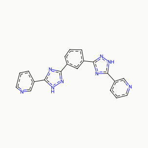 c1cc(-c2n[nH]c(-c3cccnc3)n2)cc(-c2n[nH]c(-c3cccnc3)n2)c1